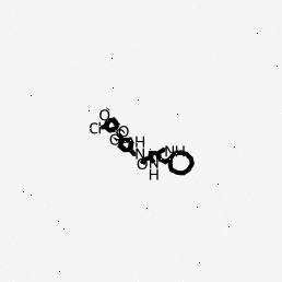 COc1ccc(S(=O)(=O)c2ccc(CNC(=O)c3cc4c([nH]3)CC3(CCCCCCCCCC3)NC4)cc2)cc1Cl